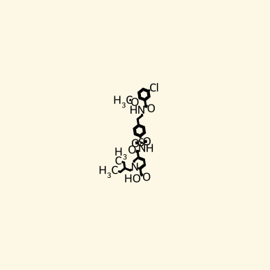 CCC(CC)CN1CC(C(=O)NS(=O)(=O)c2ccc(CCNC(=O)c3cc(Cl)ccc3OC)cc2)=CC=C1C(=O)O